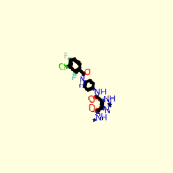 CNC(=O)c1nc[nH]c1C(=O)Nc1ccc(NC(=O)c2ccc(F)c(Cl)c2F)cc1